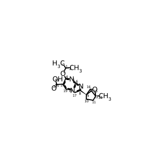 CC(C)Oc1nc2nc([C@]34CC[C@](C)(C3)OC4)cn2cc1C(=O)O